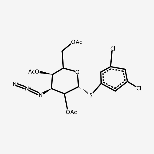 CC(=O)OCC1O[C@H](Sc2cc(Cl)cc(Cl)c2)C(OC(C)=O)[C@@H](N=[N+]=[N-])[C@H]1OC(C)=O